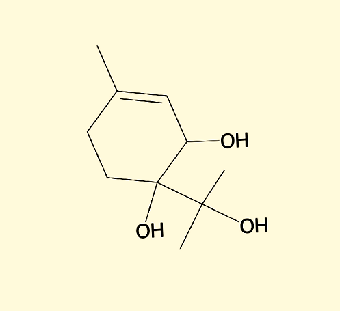 CC1=CC(O)C(O)(C(C)(C)O)CC1